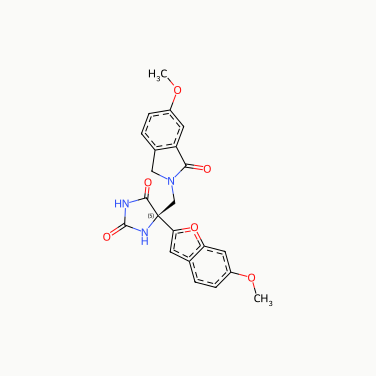 COc1ccc2c(c1)C(=O)N(C[C@@]1(c3cc4ccc(OC)cc4o3)NC(=O)NC1=O)C2